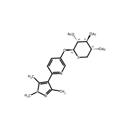 CC(=O)O[C@@H]1[C@@H](OC(C)=O)[C@H](OC(C)=O)CS[C@H]1Oc1ccc(-c2c(C)nn(C)c2C)nc1